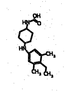 CCc1c(C)cc(NC2CCC(NC(=O)O)CC2)cc1C